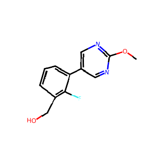 COc1ncc(-c2cccc(CO)c2F)cn1